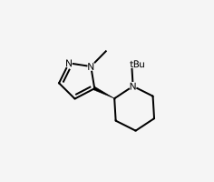 Cn1nccc1[C@@H]1CCCCN1C(C)(C)C